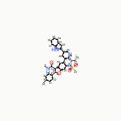 CNC(=O)c1c(-c2ccc(C)cc2)oc2cc(N(CCF)S(C)(=O)=O)c(-c3cncc(-c4cc5ccccc5[nH]4)c3)cc12